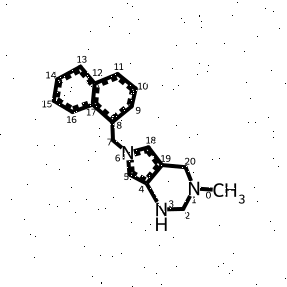 CN1CNc2cn(Cc3cccc4ccccc34)cc2C1